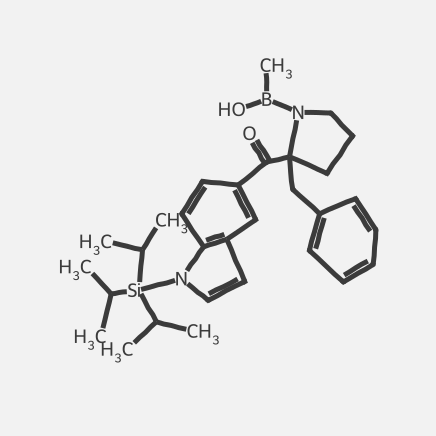 CB(O)N1CCCC1(Cc1ccccc1)C(=O)c1ccc2c(ccn2[Si](C(C)C)(C(C)C)C(C)C)c1